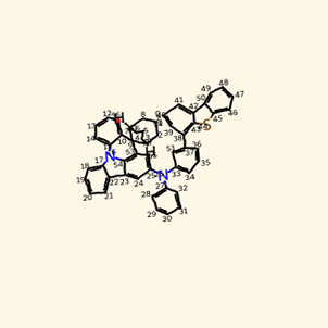 C[C@@H]1C[C@H]2CCC[C@@H](C1)C21c2ccccc2-n2c3ccccc3c3cc(N(c4ccccc4)c4cccc(-c5cccc6c5sc5ccccc56)c4)cc1c32